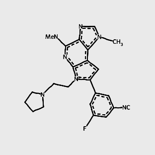 [C-]#[N+]c1cc(F)cc(-c2cc3c4c(ncn4C)c(NC)nc3n2CCN2CCCC2)c1